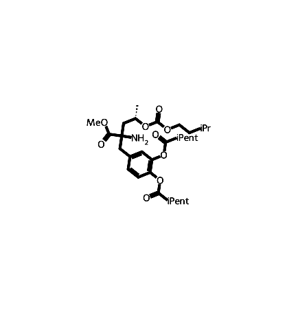 CCCC(C)C(=O)Oc1ccc(CC(N)(C[C@H](C)OC(=O)OCCC(C)C)C(=O)OC)cc1OC(=O)C(C)CCC